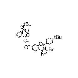 CC(C)(C)OC(=O)n1cccc1C(=O)OCC(=O)c1ccc2c(c1)O[C@@H](c1ccc(C(C)(C)C)cc1)n1c(Br)cnc1-2